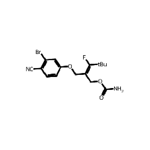 CC(C)(C)C(F)=C(COC(N)=O)COc1ccc(C#N)c(Br)c1